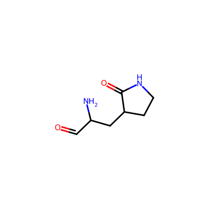 NC(C=O)CC1CCNC1=O